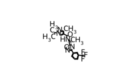 Cc1nn(C(C)C)cc1C(=O)N[C@@H](C)c1nc(-c2cccc(C(F)(F)F)c2)no1